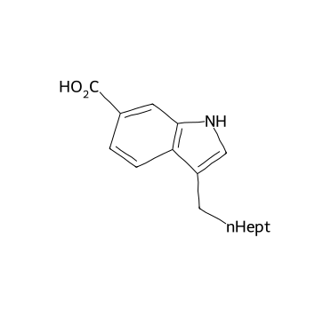 CCCCCCCCc1c[nH]c2cc(C(=O)O)ccc12